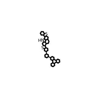 c1cc(-c2ccc3c(c2)sc2cc4[nH]c5c6c(cc7ccc(c23)c4c75)sc2ccccc26)cc(-c2ccc3c4ccccc4c4ccccc4c3c2)c1